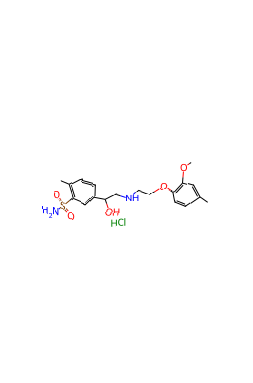 COc1cc(C)ccc1OCCNCC(O)c1ccc(C)c(S(N)(=O)=O)c1.Cl